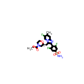 COC(=O)N1CCO[C@@H](Cc2c(-c3c(F)cc(S(N)(=O)=O)cc3F)nc3cc(C)c(F)cn23)C1